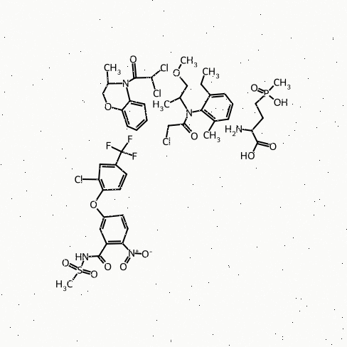 CC1COc2ccccc2N1C(=O)C(Cl)Cl.CCc1cccc(C)c1N(C(=O)CCl)C(C)COC.CP(=O)(O)CCC(N)C(=O)O.CS(=O)(=O)NC(=O)c1cc(Oc2ccc(C(F)(F)F)cc2Cl)ccc1[N+](=O)[O-]